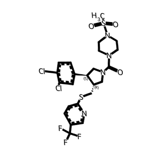 CS(=O)(=O)N1CCN(C(=O)N2C[C@H](CSc3ccc(C(F)(F)F)cn3)[C@@H](c3ccc(Cl)c(Cl)c3)C2)CC1